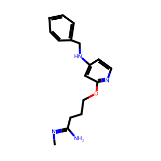 C/N=C(\N)CCCOc1cc(NCc2ccccc2)ccn1